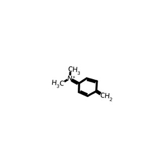 C=C1C=CC(=[N+](C)C)C=C1